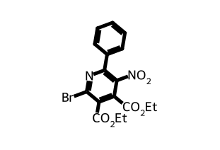 CCOC(=O)c1c(Br)nc(-c2ccccc2)c([N+](=O)[O-])c1C(=O)OCC